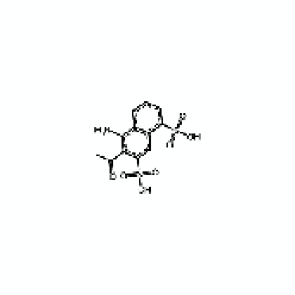 CC(=O)c1c(S(=O)(=O)O)cc2c(S(=O)(=O)O)cccc2c1N